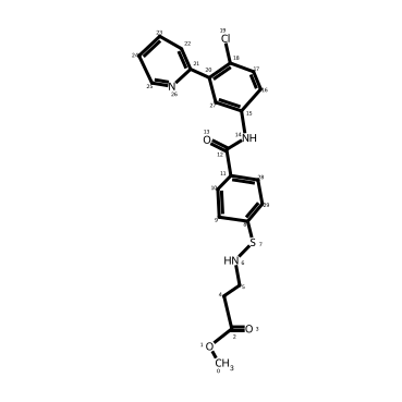 COC(=O)CCNSc1ccc(C(=O)Nc2ccc(Cl)c(-c3ccccn3)c2)cc1